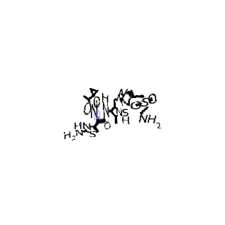 C=C1C(NC(=O)/C(=N\OC2(C(C)=O)CC2)C2=CSC(N)N2)C(Cn2ncc(CS(=O)(=O)CCN)n2)N1S